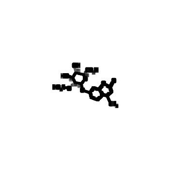 Cc1cc(=O)oc2cc(O[C@@H]3O[C@@H](C(=O)O)[C@@H](O)[C@H](O)[C@H]3OS(=O)(=O)O)ccc12